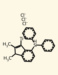 CC1=[C]([Ti+3])c2c(cccc2[SiH](c2ccccc2)c2ccccc2)C1C.[Cl-].[Cl-].[Cl-]